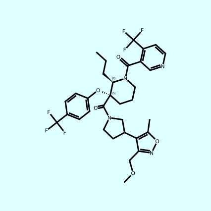 CCC[C@H]1N(C(=O)c2cnccc2C(F)(F)F)CCC[C@@]1(Oc1ccc(C(F)(F)F)cc1)C(=O)N1CCC(c2c(COC)noc2C)C1